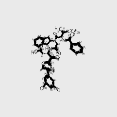 CC(C)[C@H](NC(=O)c1ccccc1)C(=O)N(CC(=O)N[C@@H](CC(=O)O)C(=O)c1nc(-c2cc(Cl)cc(Cl)c2)co1)C1Cc2ccccc2C1